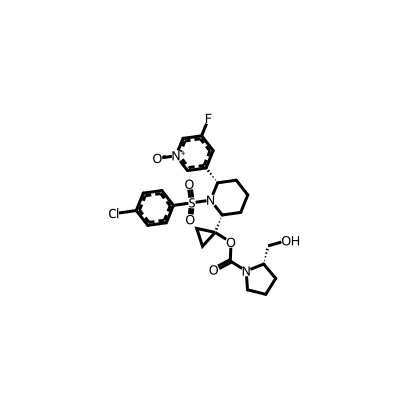 O=C(OC1([C@H]2CCC[C@@H](c3cc(F)c[n+]([O-])c3)N2S(=O)(=O)c2ccc(Cl)cc2)CC1)N1CCC[C@H]1CO